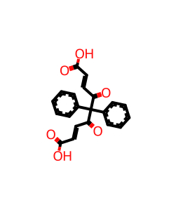 O=C(O)/C=C/C(=O)C(C(=O)/C=C/C(=O)O)(c1ccccc1)c1ccccc1